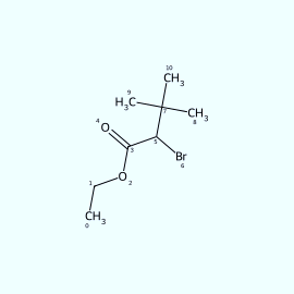 CCOC(=O)C(Br)C(C)(C)C